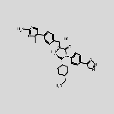 Cc1nc(N)ncc1-c1ccc(C[C@H](N)C(=O)N(c2ccc(-c3nnn[nH]3)cc2)C(=O)[C@H]2CC[C@H](CN)CC2)cc1.Cl